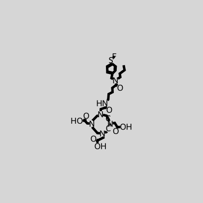 CCCCN(Cc1ccc(SF)cc1)C(=O)CCCCNC(=O)CN1CCN(CC(=O)O)CCN(CC(=O)O)CCN(CC(=O)O)CC1